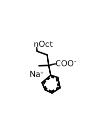 CCCCCCCCCCC(C)(C(=O)[O-])c1ccccc1.[Na+]